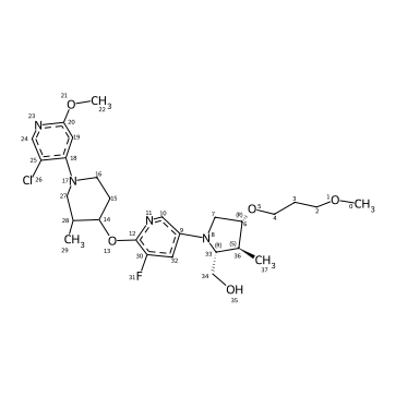 COCCCO[C@H]1CN(c2cnc(OC3CCN(c4cc(OC)ncc4Cl)CC3C)c(F)c2)[C@@H](CO)[C@@H]1C